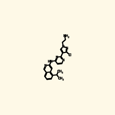 CC(C)c1cccc2cnc(Nc3ccnc(-c4cn(CCN)nc4Cl)n3)cc12